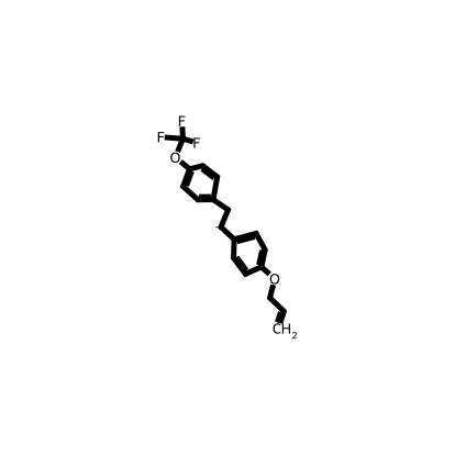 C=CCOc1ccc([CH]Cc2ccc(OC(F)(F)F)cc2)cc1